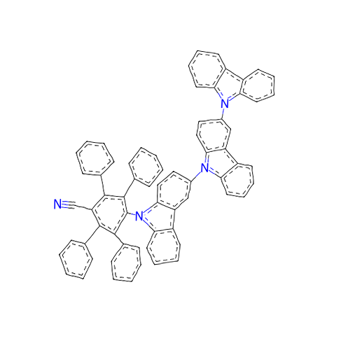 N#Cc1c(-c2ccccc2)c(-c2ccccc2)c(-n2c3ccccc3c3cc(-n4c5ccccc5c5cc(-n6c7ccccc7c7ccccc76)ccc54)ccc32)c(-c2ccccc2)c1-c1ccccc1